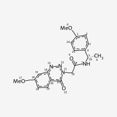 COc1ccc([C@H](C)NC(=O)Cn2nnc3cc(OC)ccc3c2=O)cc1